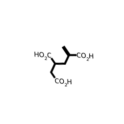 C=C(CC(CC(=O)O)C(=O)O)C(=O)O